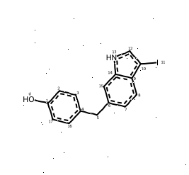 Oc1ccc(Cc2ccc3c(I)c[nH]c3c2)cc1